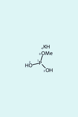 COP(O)O.[KH]